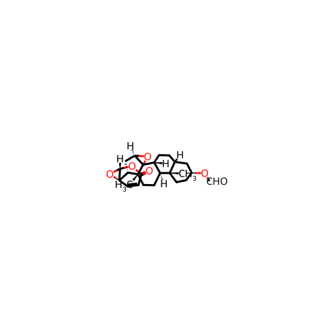 C[C@]12CC[C@H](OC=O)C[C@H]1CC[C@@H]1[C@@H]2CC[C@]2(C)[C@H]([C@]34C=CC(=O)O[C@H]3O4)C[C@H]3O[C@]132